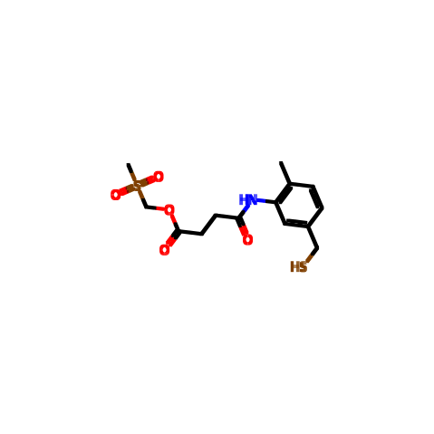 Cc1ccc(CS)cc1NC(=O)CCC(=O)OCS(C)(=O)=O